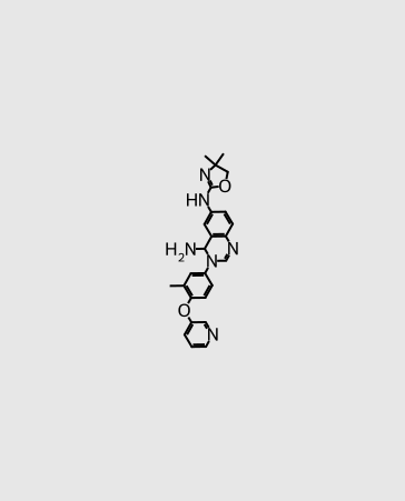 Cc1cc(N2C=Nc3ccc(NC4=NC(C)(C)CO4)cc3C2N)ccc1Oc1cccnc1